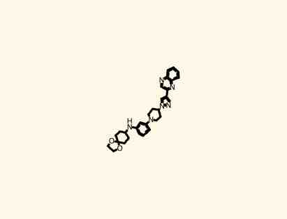 c1cc(NC2CCC3(CC2)OCCO3)cc(N2CCC(n3cc(-c4cnc5ccccc5n4)cn3)CC2)c1